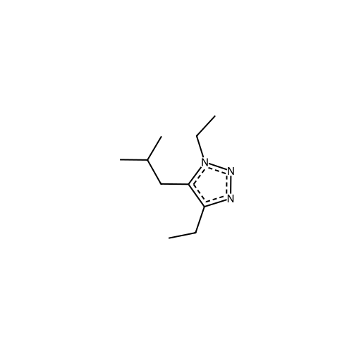 CCc1nnn(CC)c1CC(C)C